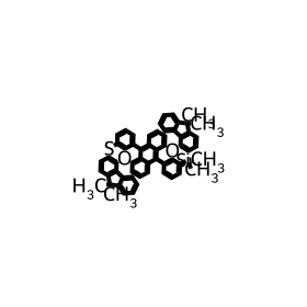 CC1(C)c2ccccc2-c2c1ccc1c2Oc2c(cccc2-c2c3ccccc3c(-c3cccc4c3Oc3c(ccc5c3-c3ccccc3C5(C)C)[Si]4(C)C)c3ccccc23)S1